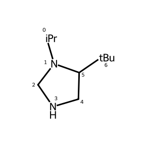 CC(C)N1CNCC1C(C)(C)C